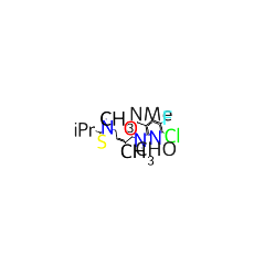 CNC(=O)c1cc(F)c(Cl)nc1N(C=O)C/C(C)=C\CN(C)C(=S)C(C)C